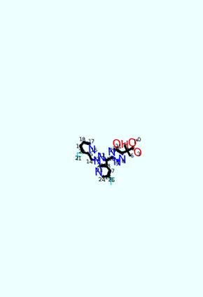 COC(=O)C(C)(C)c1nnc(-c2nn(Cc3ncccc3F)c3ncc(F)cc23)nc1O